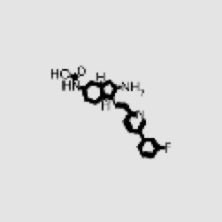 N[C@@H]1C[C@H]2CC(NC(=O)O)CC[C@H]2[C@@H]1C=Cc1ccc(-c2cccc(F)c2)cn1